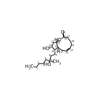 CCCCCC(C)(O)CC[C@@H]1[C@H]2C/C=C\CCCC(=O)O[C@H]2C[C@H]1O